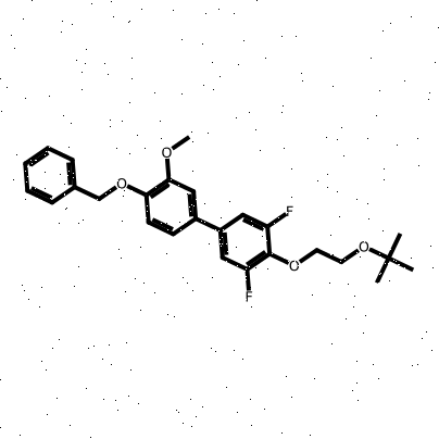 COc1cc(-c2cc(F)c(OCCOC(C)(C)C)c(F)c2)ccc1OCc1ccccc1